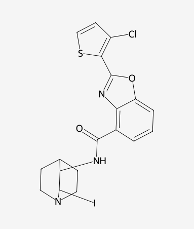 O=C(NC1C2CCN(CC2)C1I)c1cccc2oc(-c3sccc3Cl)nc12